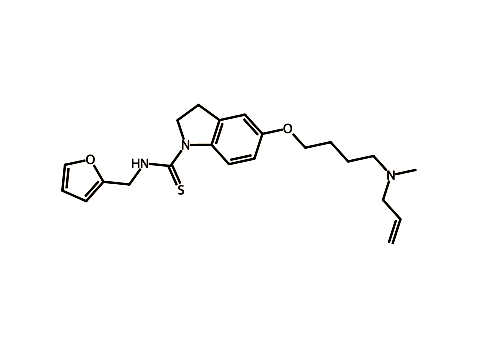 C=CCN(C)CCCCOc1ccc2c(c1)CCN2C(=S)NCc1ccco1